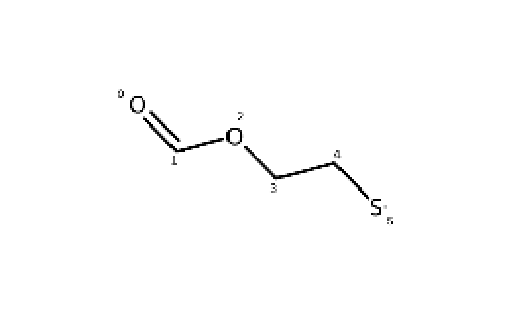 O=[C]OCC[S]